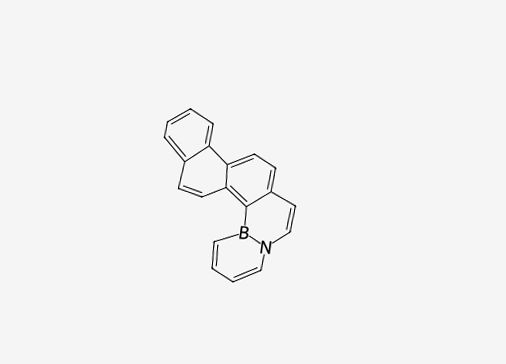 C1=CB2c3c(ccc4c3ccc3ccccc34)C=CN2C=C1